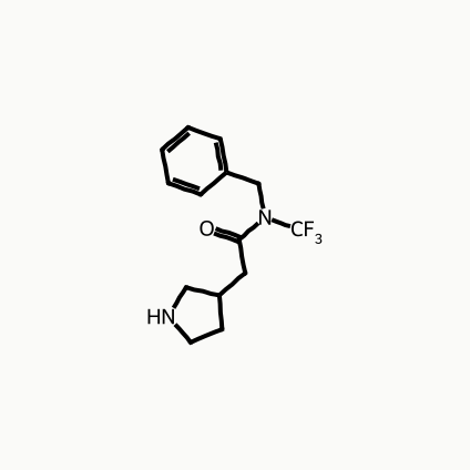 O=C(CC1CCNC1)N(Cc1ccccc1)C(F)(F)F